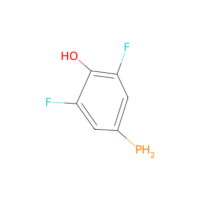 Oc1c(F)cc(P)cc1F